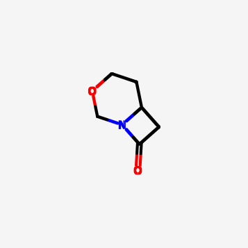 O=C1CC2CCOCN12